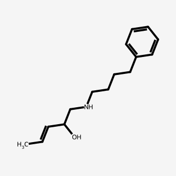 C/C=C/C(O)CNCCCCc1ccccc1